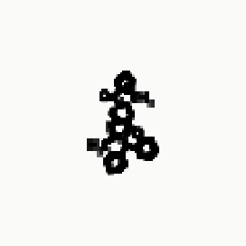 Cc1nc2c(c(=O)n1C(c1ccccc1)c1ccccc1)CCN(C(=O)c1cccn1C)C2